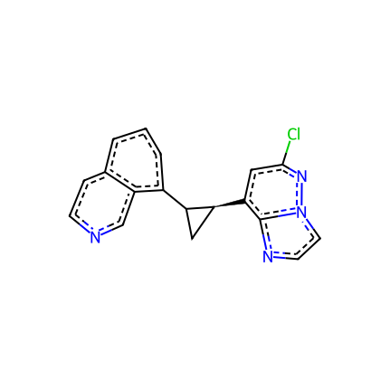 Clc1cc([C@H]2CC2c2cccc3ccncc23)c2nccn2n1